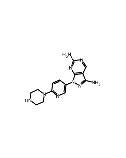 Nc1ncc2c(N)nn(-c3ccc(N4CCNCC4)nc3)c2n1